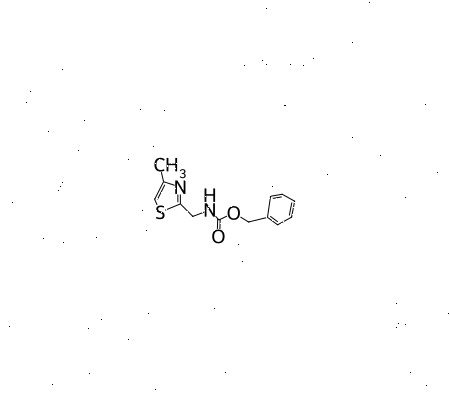 Cc1csc(CNC(=O)OCc2ccccc2)n1